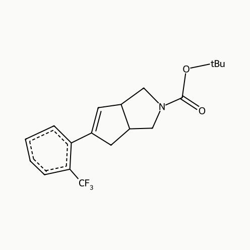 CC(C)(C)OC(=O)N1CC2C=C(c3ccccc3C(F)(F)F)CC2C1